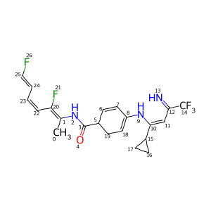 C\C(NC(=O)C1C=CC(N/C(=C\C(=N)C(F)(F)F)C2CC2)=CC1)=C(F)/C=C\C=C\F